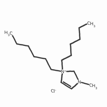 CCCCCC[N+]1(CCCCCC)C=CN(C)C1.[Cl-]